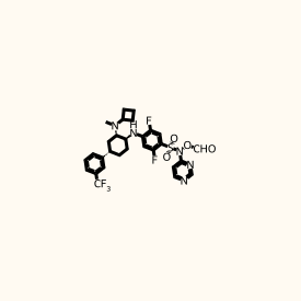 CN(C1CCC1)[C@H]1C[C@@H](c2cccc(C(F)(F)F)c2)CC[C@@H]1Nc1cc(F)c(S(=O)(=O)N(OC=O)c2ccncn2)cc1F